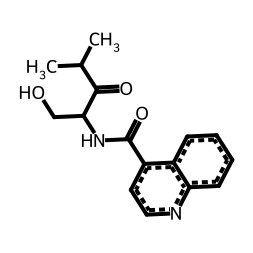 CC(C)C(=O)C(CO)NC(=O)c1ccnc2ccccc12